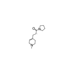 CN1CC=C(C[CH]C(=O)N2CCCC2)CC1